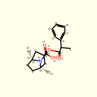 CC(C(=O)OC1C[C@H]2CC[C@@H](C1)N2C(=O)O)c1ccccc1